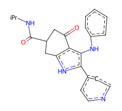 CC(C)NC(=O)C1CC(=O)c2c([nH]c(-c3ccncc3)c2Nc2ccccc2)C1